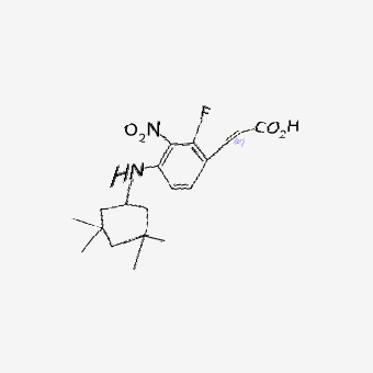 CC1(C)CC(Nc2ccc(/C=C/C(=O)O)c(F)c2[N+](=O)[O-])CC(C)(C)C1